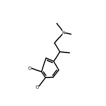 CC(CN(C)C)c1ccc(Cl)c(Cl)c1